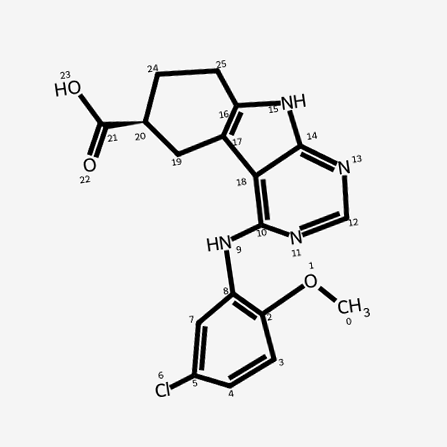 COc1ccc(Cl)cc1Nc1ncnc2[nH]c3c(c12)C[C@@H](C(=O)O)CC3